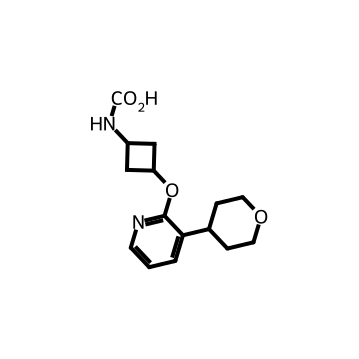 O=C(O)NC1CC(Oc2ncccc2C2CCOCC2)C1